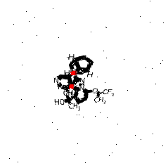 C[C@H](Oc1ccc(C(C)(C)O)c2nc(NC3[C@@H]4CC[C@H]3CN(c3cnnc(Cl)c3)C4)nn12)C(F)(F)F